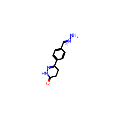 N/N=[C]/c1ccc(C2=NNC(=O)CC2)cc1